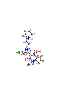 CC(C)n1c(=O)c(C(=O)NCCCN2CCCCC2)c(O)c2ccsc21.Cl